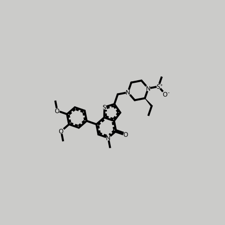 CC[C@H]1CN(Cc2cc3c(=O)n(C)cc(-c4ccc(OC)c(OC)c4)c3s2)CCN1[S+](C)[O-]